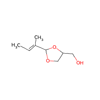 CC=C(C)C1OCC(CO)O1